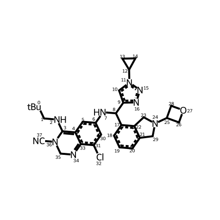 CC(C)(C)CNC1=c2cc(NC(c3cn(C4CC4)nn3)c3cccc4c3CN(C3COC3)C4)cc(Cl)c2=NCN1C#N